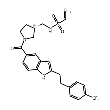 C=CS(=O)(=O)NC[C@H]1CCN(C(=O)c2ccc3[nH]c(CCc4ccc(C(F)(F)F)cc4)cc3c2)C1